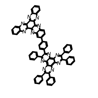 c1ccc(-c2nc3c4nc(-c5ccccc5)c(-c5ccccc5)nc4c4nc(-c5ccc(-c6ccc7nc8c9nc%10ccccc%10nc9c9nc%10ccccc%10nc9c8nc7c6)cc5)c(-c5ccccc5)nc4c3nc2-c2ccccc2)cc1